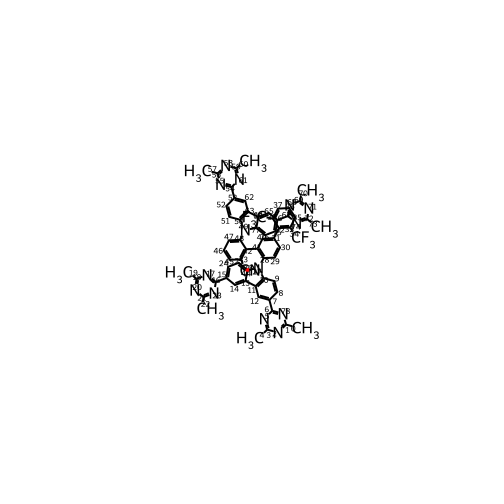 Cc1nc(C)nc(-c2ccc3c(c2)c2cc(-c4nc(C)nc(C)n4)ccc2n3-c2ccc(-c3c(C(F)(F)F)cccc3C(F)(F)F)cc2-c2c(C#N)cccc2-n2c3ccc(-c4nc(C)nc(C)n4)cc3c3cc(-c4nc(C)nc(C)n4)ccc32)n1